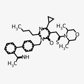 CCCCc1nc(C2CC2)c(CC(=S)N2C(C)COCC2C)c(=O)n1Cc1ccc(-c2ccccc2C(C)=N)cc1